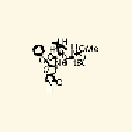 COC(=O)N[C@H](C(=O)N1C[C@H]2[C@@H]([C@H]1C(=O)N[C@@H](C[C@@H]1CCNC1=O)C(=O)COc1ccccc1)C2(C)C)C(C)(C)C